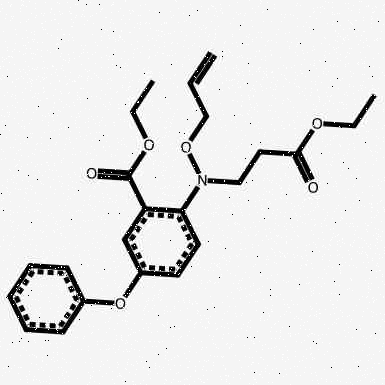 C=CCON(CCC(=O)OCC)c1ccc(Oc2ccccc2)cc1C(=O)OCC